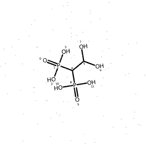 O=P(O)(O)C(C(O)O)P(=O)(O)O